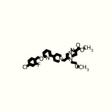 COCCn1c(CN2CCC(c3cccc(OCc4ccc(Cl)cc4F)n3)CC2)cn2nc(C(=O)OC)cc12